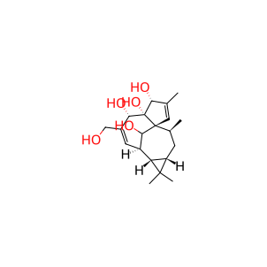 CC1=C[C@@]23C(O)[C@H](C=C(CO)[C@H](O)[C@@]2(O)[C@@H]1O)[C@@H]1[C@H](C[C@@H]3C)C1(C)C